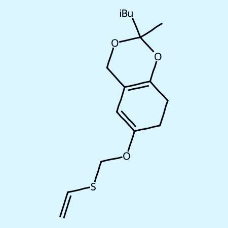 C=CSCOC1=CC2=C(CC1)OC(C)(C(C)CC)OC2